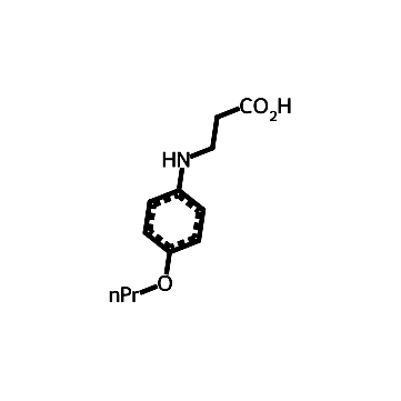 CCCOc1ccc(NCCC(=O)O)cc1